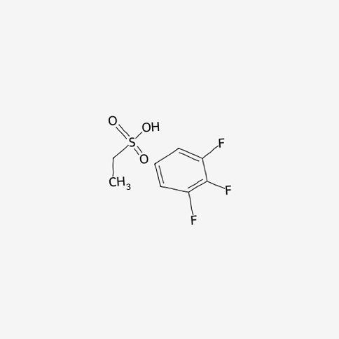 CCS(=O)(=O)O.Fc1cccc(F)c1F